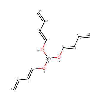 C=CC=C[O][Sb]([O]C=CC=C)[O]C=CC=C